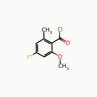 COc1cc(F)cc(C)c1C(=O)Cl